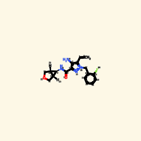 C=Cc1c(N)c(C(=O)N[C@@H]2[C@@H]3COC[C@@H]32)nn1Cc1ccccc1F